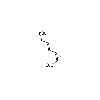 CCCCC/C=C/C=C\C(=O)O